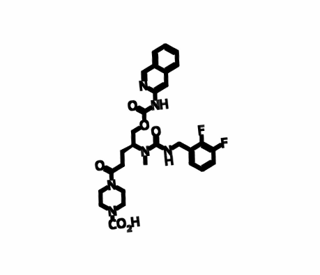 CN(C(=O)NCc1cccc(F)c1F)[C@@H](CCC(=O)N1CCN(C(=O)O)CC1)COC(=O)Nc1cc2ccccc2cn1